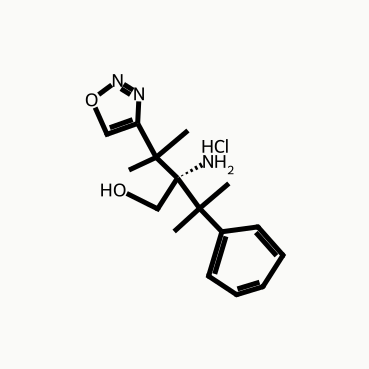 CC(C)(c1ccccc1)[C@@](N)(CO)C(C)(C)c1conn1.Cl